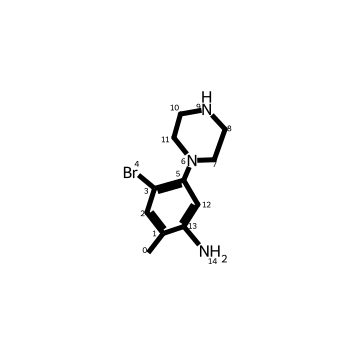 Cc1cc(Br)c(N2CCNCC2)cc1N